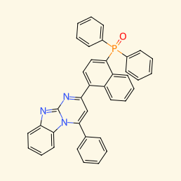 O=P(c1ccccc1)(c1ccccc1)c1ccc(-c2cc(-c3ccccc3)n3c(n2)nc2ccccc23)c2ccccc12